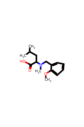 COc1ccccc1CN(C)C(CC(C)C)C(=O)O